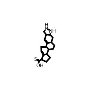 OC(=S)C1CCC2C1=CC=C1C3=CC4CNNC4CC3CCC12